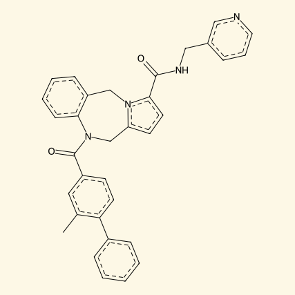 Cc1cc(C(=O)N2Cc3ccc(C(=O)NCc4cccnc4)n3Cc3ccccc32)ccc1-c1ccccc1